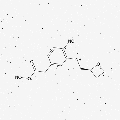 N#COC(=O)Cc1ccc(N=O)c(NC[C@@H]2CCO2)c1